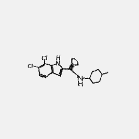 CC1CCC(NC(=O)c2cc3ccc(Cl)c(Cl)c3[nH]2)CC1